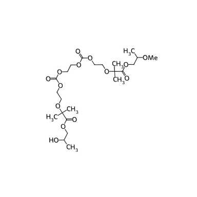 COC(C)COC(=O)C(C)(C)OCCOC(=O)OCCOC(=O)OCCOC(C)(C)C(=O)OCC(C)O